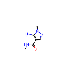 CNC(=O)c1cnn(C)c1N